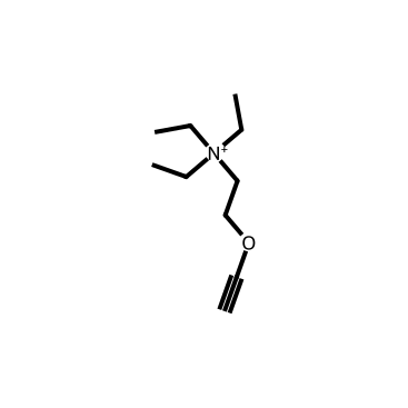 C#COCC[N+](CC)(CC)CC